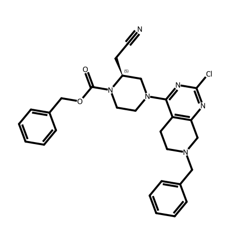 N#CC[C@H]1CN(c2nc(Cl)nc3c2CCN(Cc2ccccc2)C3)CCN1C(=O)OCc1ccccc1